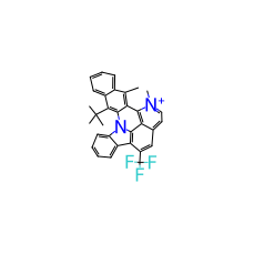 Cc1c2ccccc2c(C(C)(C)C)c2c1c1c3c(cc[n+]1C)cc(C(F)(F)F)c1c4ccccc4n2c13